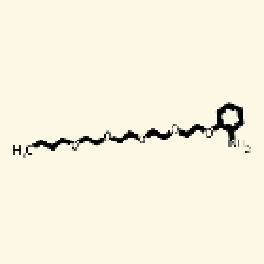 CCCCOCCOCCOCCOCCOc1ccccc1N